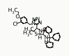 CCOc1ccc(Cn2nnnc2C2N3C(=O)C(NC(c4ccccc4)(c4ccccc4)c4ccccc4)[C@@H]3SC2(C)C)cc1Cl